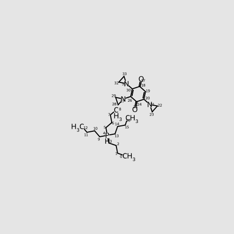 CCCC[PH](CCCC)(CCCC)CCCC.O=C1C=C(N2CC2)C(=O)C(N2CC2)=C1N1CC1